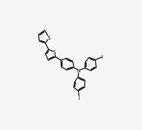 Ic1ccc(N(c2ccc(I)cc2)c2ccc(-c3ccc(-c4cccs4)s3)cc2)cc1